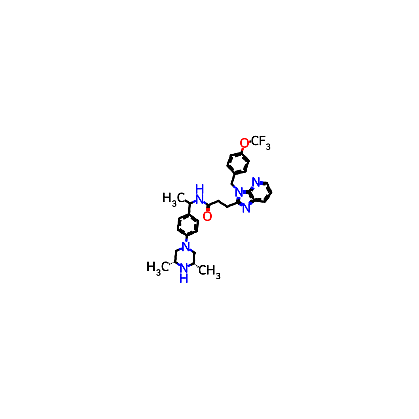 CC(NC(=O)CCc1nc2cccnc2n1Cc1ccc(OC(F)(F)F)cc1)c1ccc(N2C[C@@H](C)N[C@@H](C)C2)cc1